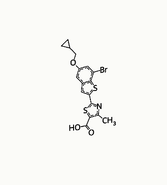 Cc1nc(-c2cc3cc(OCC4CC4)cc(Br)c3s2)sc1C(=O)O